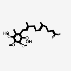 COc1c(OO)c(C)c(C/C=C(\C)CC/C=C(\C)CCC=C(F)F)c(OO)c1OC